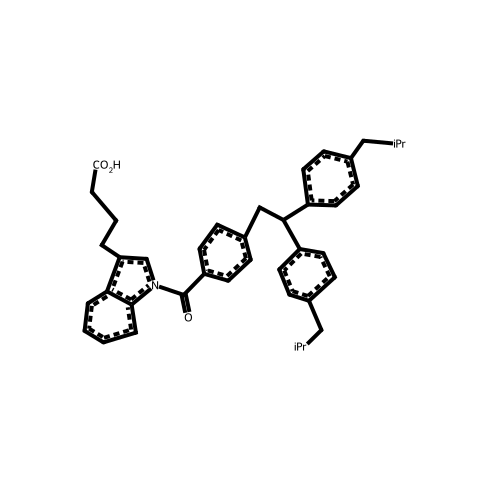 CC(C)Cc1ccc(C(Cc2ccc(C(=O)n3cc(CCCC(=O)O)c4ccccc43)cc2)c2ccc(CC(C)C)cc2)cc1